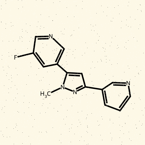 Cn1nc(-c2cccnc2)cc1-c1cncc(F)c1